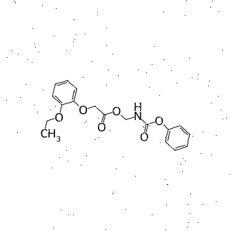 CCOc1ccccc1OCC(=O)OCNC(=O)Oc1ccccc1